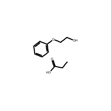 CCC(=O)O.OCCOc1ccccc1